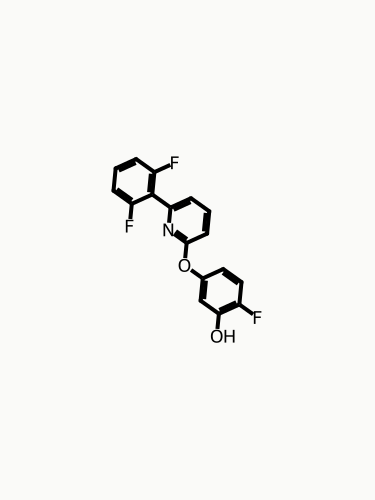 Oc1cc(Oc2cccc(-c3c(F)cccc3F)n2)ccc1F